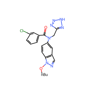 CCCCOn1ncc2cc(N(Cc3nn[nH]n3)C(=O)c3cccc(Cl)c3)ccc21